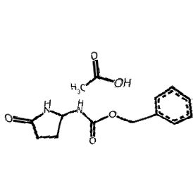 CC(=O)O.O=C1CCC(NC(=O)OCc2ccccc2)N1